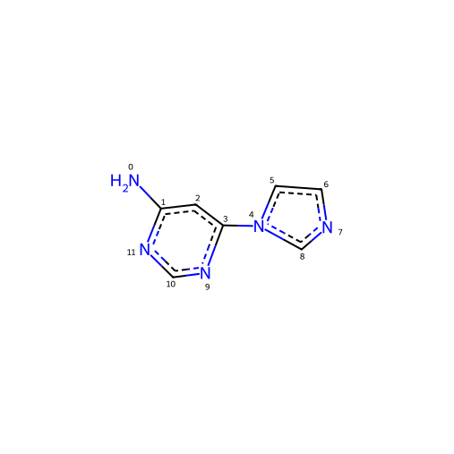 Nc1cc(-n2ccnc2)ncn1